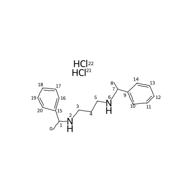 CC(NCCCNC(C)c1ccccc1)c1ccccc1.Cl.Cl